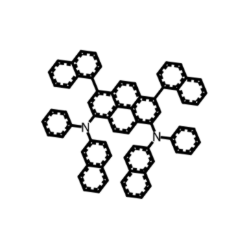 c1ccc(N(c2ccc3ccccc3c2)c2cc(-c3cccc4ccccc34)c3ccc4c(-c5cccc6ccccc56)cc(N(c5ccccc5)c5ccc6ccccc6c5)c5ccc2c3c45)cc1